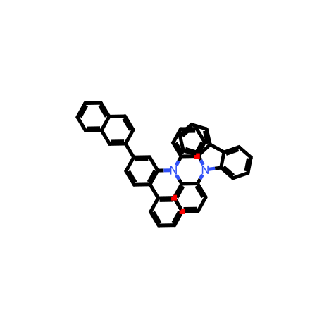 c1ccc(-c2ccc(-c3ccc4ccccc4c3)cc2N(c2ccccc2)c2ccccc2-n2c3ccccc3c3ccccc32)cc1